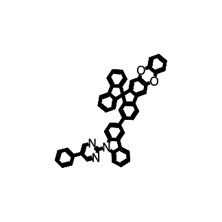 c1ccc(-c2cnc(-n3c4ccccc4c4cc(-c5ccc6c(c5)C5(c7ccccc7-c7ccccc75)c5cc7c(cc5-6)Oc5ccccc5O7)ccc43)nc2)cc1